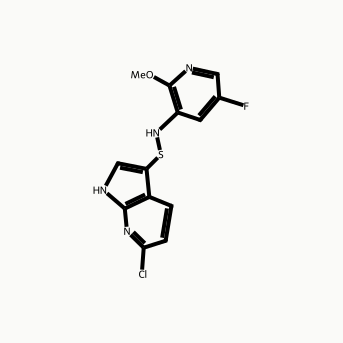 COc1ncc(F)cc1NSc1c[nH]c2nc(Cl)ccc12